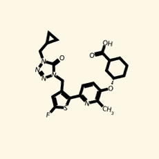 Cc1nc(-c2sc(F)cc2Cn2nnn(CC3CC3)c2=O)ccc1O[C@H]1CCCC(C(=O)O)C1